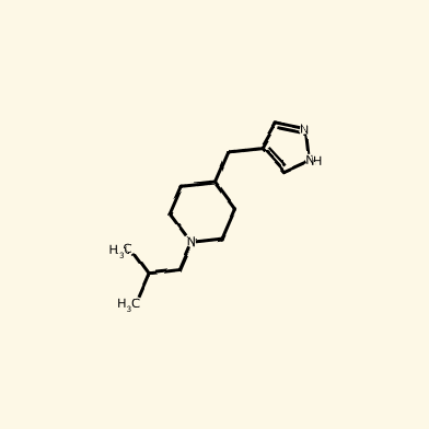 C[C](C)CN1CCC(Cc2cn[nH]c2)CC1